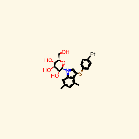 CCc1ccc(Sc2cn([C@@H]3O[C@H](CO)[C@@H](O)[C@H](O)[C@H]3O)c3cc(C)cc(C)c23)cc1